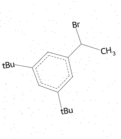 CC(Br)c1cc(C(C)(C)C)cc(C(C)(C)C)c1